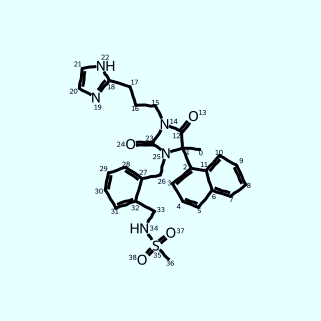 CC1(c2cccc3ccccc23)C(=O)N(CCCc2ncc[nH]2)C(=O)N1Cc1ccccc1CNS(C)(=O)=O